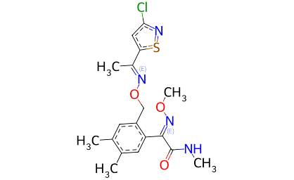 CNC(=O)/C(=N/OC)c1cc(C)c(C)cc1CO/N=C(\C)c1cc(Cl)ns1